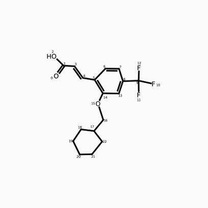 O=C(O)C=Cc1ccc(C(F)(F)F)cc1OCC1CCCCC1